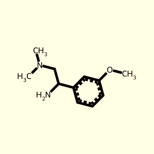 COc1cccc(C(N)CN(C)C)c1